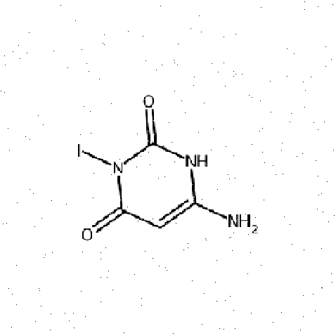 Nc1cc(=O)n(I)c(=O)[nH]1